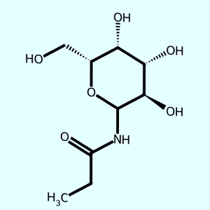 CCC(=O)NC1O[C@H](CO)[C@H](O)[C@H](O)[C@H]1O